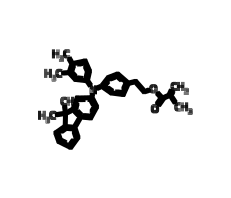 C=C(C)C(=O)OCCc1ccc(N(c2ccc(C)c(C)c2)c2ccc3c(c2)C(C)(C)c2ccccc2-3)cc1